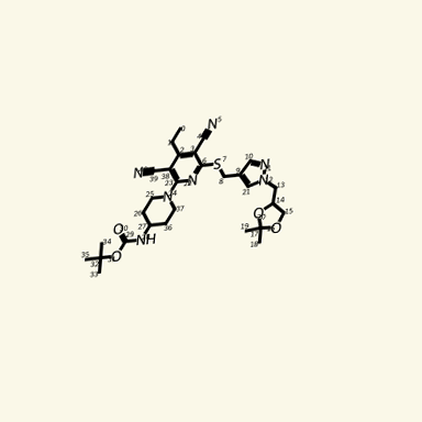 CCc1c(C#N)c(SCc2cnn(CC3COC(C)(C)O3)c2)nc(N2CCC(NC(=O)OC(C)(C)C)CC2)c1C#N